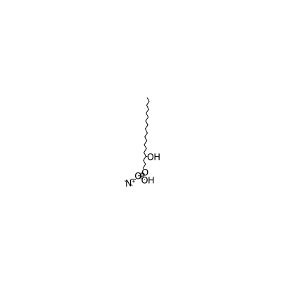 CCCCCCCCCCCCCCCC(O)CCCOP(O)OCC[N+](C)(C)C